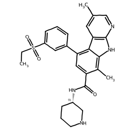 CCS(=O)(=O)c1cccc(-c2cc(C(=O)N[C@H]3CCCNC3)c(C)c3[nH]c4ncc(C)cc4c23)c1